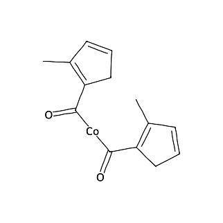 CC1=C([C](=O)[Co][C](=O)C2=C(C)C=CC2)CC=C1